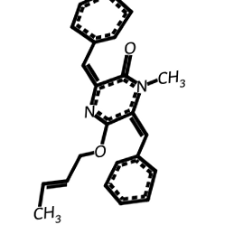 CC=CCOc1nc(=Cc2ccccc2)c(=O)n(C)c1=Cc1ccccc1